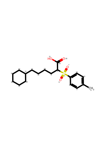 Cc1ccc(S(=O)(=O)C(CCCCC2CCCCC2)C(=O)O)cc1